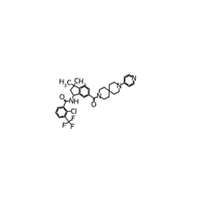 CC1(C)CC(NC(=O)c2cccc(C(F)(F)F)c2Cl)c2cc(C(=O)N3CCC4(CC3)CCN(c3ccncc3)CC4)ccc21